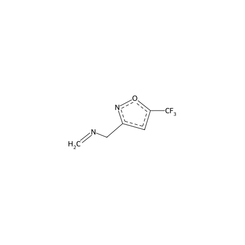 C=NCc1cc(C(F)(F)F)on1